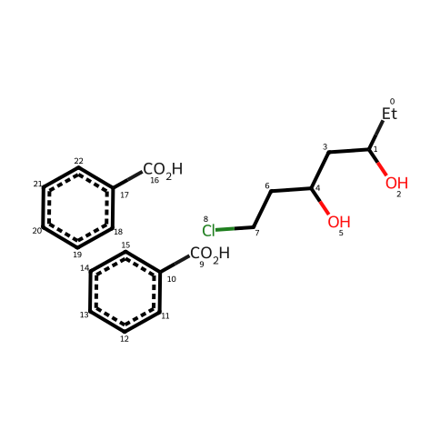 CCC(O)CC(O)CCCl.O=C(O)c1ccccc1.O=C(O)c1ccccc1